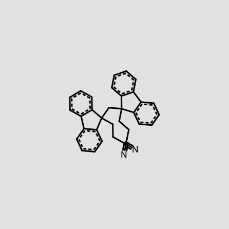 N#CCCC1(CC2(CCC#N)c3ccccc3-c3ccccc32)c2ccccc2-c2ccccc21